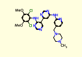 COc1cc(OC)c(Cl)c(Nc2ncncc2-c2cc(Nc3cc(CN4CCN(C)CC4)ccn3)ncn2)c1Cl